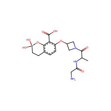 CC(NC(=O)CN)C(=O)N1CC(Oc2ccc3c(c2C(=O)O)O[B-](O)(O)CC3)C1